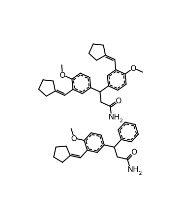 COc1ccc(C(CC(N)=O)c2ccc(OC)c(C=C3CCCC3)c2)cc1C=C1CCCC1.COc1ccc(C(CC(N)=O)c2ccccc2)cc1C=C1CCCC1